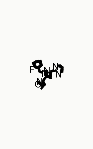 Fc1ccccc1Cn1nc(-c2ncccn2)cc1-c1ccon1